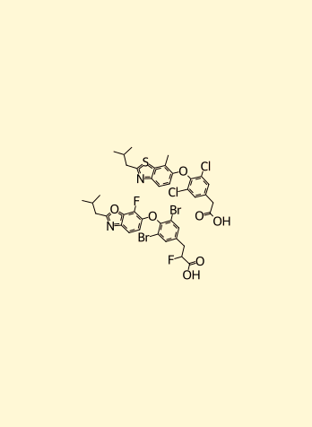 CC(C)Cc1nc2ccc(Oc3c(Br)cc(CC(F)C(=O)O)cc3Br)c(F)c2o1.Cc1c(Oc2c(Cl)cc(CC(=O)O)cc2Cl)ccc2nc(CC(C)C)sc12